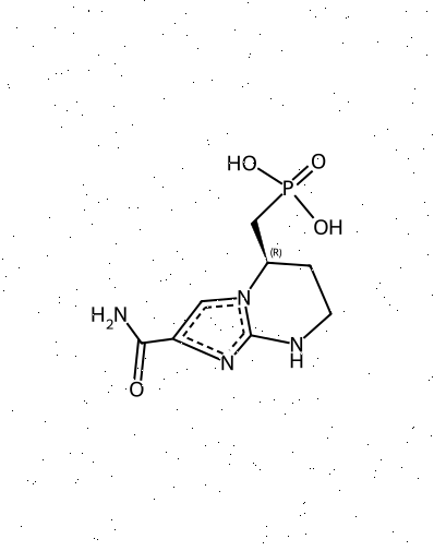 NC(=O)c1cn2c(n1)NCC[C@@H]2CP(=O)(O)O